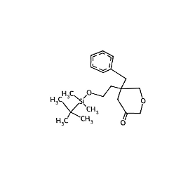 CC(C)(C)[Si](C)(C)OCCC1(Cc2ccccc2)COCC(=O)C1